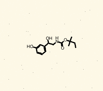 CCC(C)(C)OC(=O)NCC(O)c1cccc(O)c1